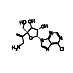 C=C(CN)[C@]1(CO)O[C@@H](n2cnc3c(Cl)ncnc32)[C@@H](O)C1O